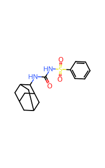 O=C(NC1C2CC3CC(C2)CC1C3)NS(=O)(=O)c1ccccc1